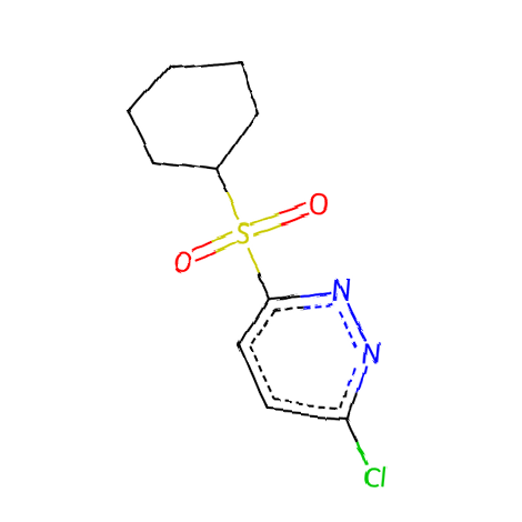 O=S(=O)(c1ccc(Cl)nn1)C1CCCCC1